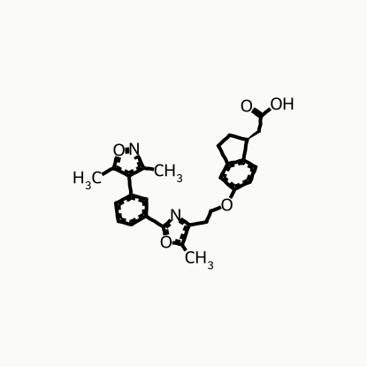 Cc1noc(C)c1-c1cccc(-c2nc(CCOc3ccc4c(c3)CC[C@H]4CC(=O)O)c(C)o2)c1